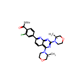 CNC(=O)c1ccc(-c2ccc3c(N4CCOC[C@@H]4C)nc(N4CCOC[C@@H]4C)nc3n2)cc1F